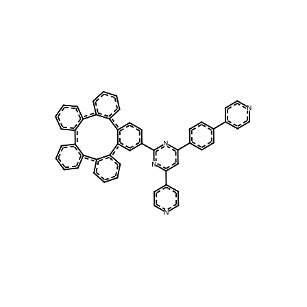 c1ccc2c(c1)c1ccccc1c1ccccc1c1cc(-c3nc(-c4ccncc4)cc(-c4ccc(-c5ccncc5)cc4)n3)ccc1c1ccccc21